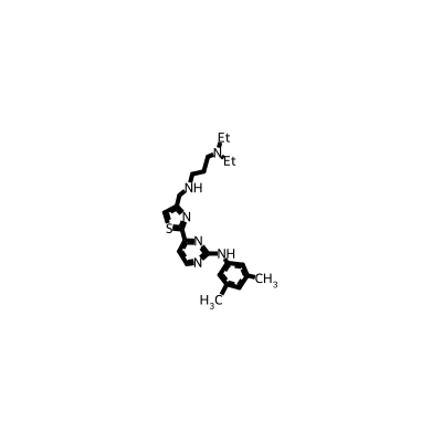 CCN(CC)CCCNCc1csc(-c2ccnc(Nc3cc(C)cc(C)c3)n2)n1